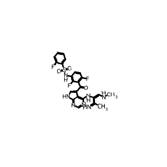 CN/C=C(/Nc1ncnc2[nH]cc(C(=O)c3c(F)ccc(NS(=O)(=O)c4ccccc4F)c3F)c12)C(C)=N